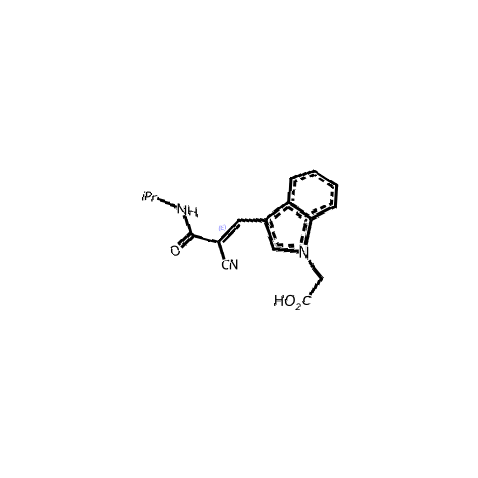 CC(C)NC(=O)/C(C#N)=C/c1cn(CC(=O)O)c2ccccc12